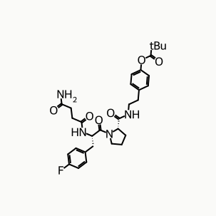 CC(C)(C)C(=O)Oc1ccc(CCNC(=O)[C@@H]2CCCN2C(=O)[C@H](Cc2ccc(F)cc2)NC(=O)CCC(N)=O)cc1